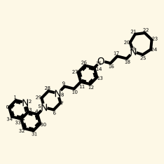 c1cnc2c(N3CCN(CCc4ccc(OCCCN5CCCCCC5)cc4)CC3)cccc2c1